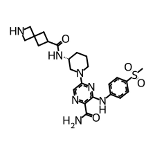 CS(=O)(=O)c1ccc(Nc2nc(N3CCC[C@@H](NC(=O)C4CC5(CNC5)C4)C3)cnc2C(N)=O)cc1